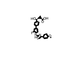 COc1ccc(-c2csc(Nc3ccc(-c4ccc(C(O)[C@H]5C[C@@H]5C(=O)O)cc4)cc3F)n2)cc1